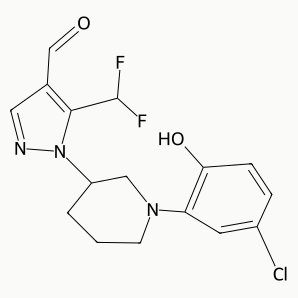 O=Cc1cnn(C2CCCN(c3cc(Cl)ccc3O)C2)c1C(F)F